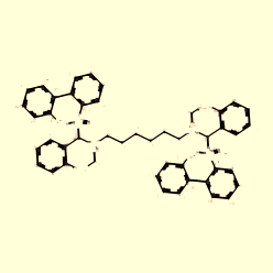 O=P1(C2c3ccccc3OCN2CCCCCCN2COc3ccccc3C2P2(=O)Oc3ccccc3-c3ccccc32)Oc2ccccc2-c2ccccc21